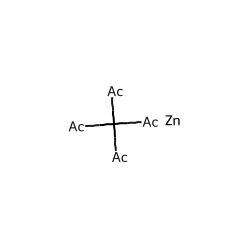 CC(=O)C(C(C)=O)(C(C)=O)C(C)=O.[Zn]